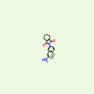 CN/C(Cl)=C/c1cc(N2C(=O)C3=C(CCCC3)C2=O)ccc1Cl